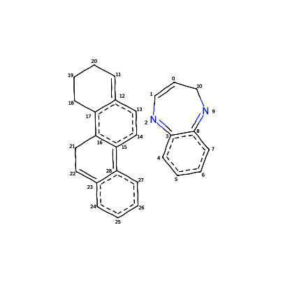 C1=CN=c2ccccc2=NC1.C1=c2ccc3c(c2CCC1)CC=c1ccccc1=3